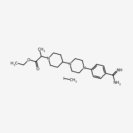 CCOC(=O)C(C)N1CCC(N2CCN(c3ccc(C(=N)N)cc3)CC2)CC1.CI